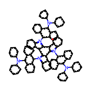 c1ccc(N(c2ccccc2)c2c3ccccc3c(-n3c4ccccc4c4c3c3c5ccccc5n(-c5c6ccccc6c(N(c6ccccc6)c6ccccc6)c6ccccc56)c3c3c5ccccc5n(-c5c6ccccc6c(N(c6ccccc6)c6ccccc6)c6ccccc56)c43)c3ccccc23)cc1